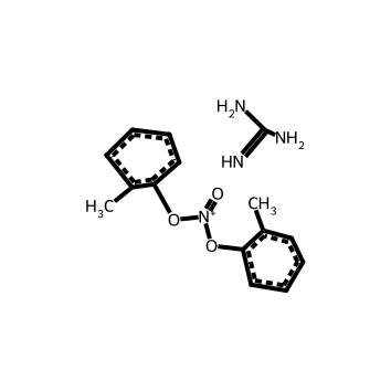 Cc1ccccc1O[N+](=O)Oc1ccccc1C.N=C(N)N